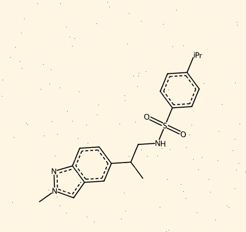 CC(C)c1ccc(S(=O)(=O)NCC(C)c2ccc3nn(C)cc3c2)cc1